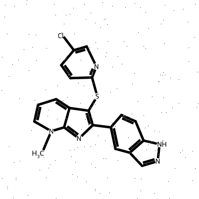 Cn1cccc2c(Sc3ccc(Cl)cn3)c(-c3ccc4[nH]ncc4c3)nc1-2